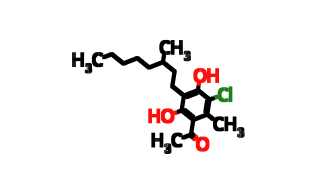 CCCCCC(C)CCc1c(O)c(Cl)c(C)c(C(C)=O)c1O